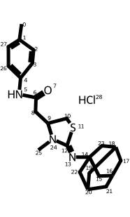 Cc1ccc(NC(=O)CC2CSC(=NC34CC5CC(CC(C5)C3)C4)N2C)cc1.Cl